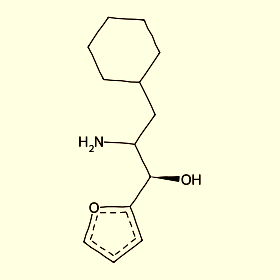 NC(CC1CCCCC1)[C@@H](O)c1ccco1